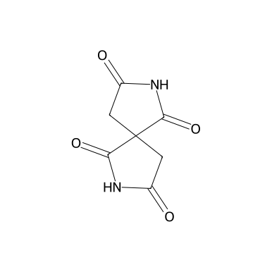 O=C1CC2(CC(=O)NC2=O)C(=O)N1